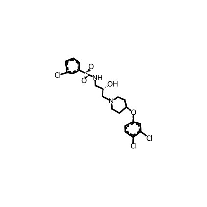 O=S(=O)(NC[C@H](O)CN1CCC(Oc2ccc(Cl)c(Cl)c2)CC1)c1cccc(Cl)c1